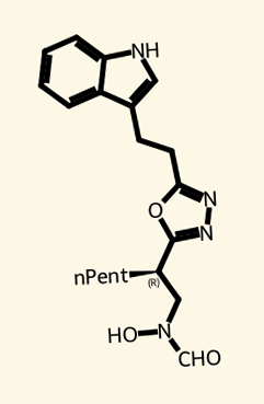 CCCCC[C@H](CN(O)C=O)c1nnc(CCc2c[nH]c3ccccc23)o1